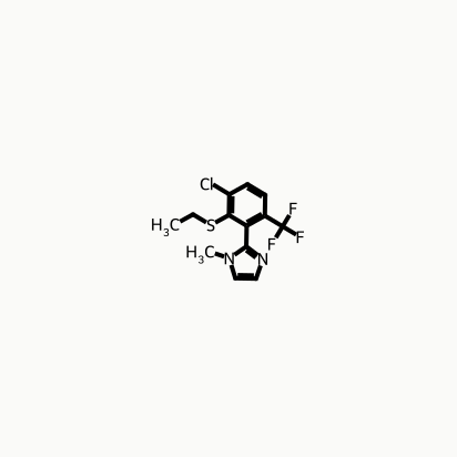 CCSc1c(Cl)ccc(C(F)(F)F)c1-c1nccn1C